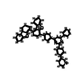 c1ccc(-c2cc(-c3ccc(-c4ccc(-c5cccc6c5oc5ccccc56)c5c4oc4ccccc45)cc3)nc(-c3ccc(-c4cccnc4)cc3)n2)cc1